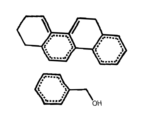 C1=c2c(ccc3c2=CCc2ccccc2-3)CCC1.OCc1ccccc1